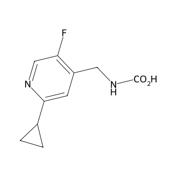 O=C(O)NCc1cc(C2CC2)ncc1F